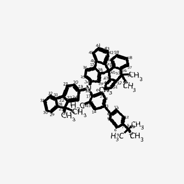 Cc1cc(-c2ccc(C(C)(C)C)cc2)cc(C)c1N(c1ccc2c(c1)C(C)(C)c1ccccc1-2)c1ccc2c(c1)C1(c3ccccc3-2)c2ccccc2C(C)(C)c2ccccc21